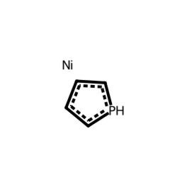 [Ni].c1cc[pH]c1